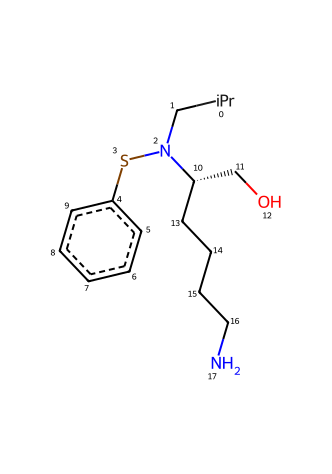 CC(C)CN(Sc1ccccc1)[C@H](CO)CCCCN